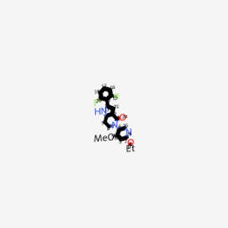 CCOc1cc(OC)c(N2CCc3[nH]c(-c4c(F)cccc4F)cc3C2=O)cn1